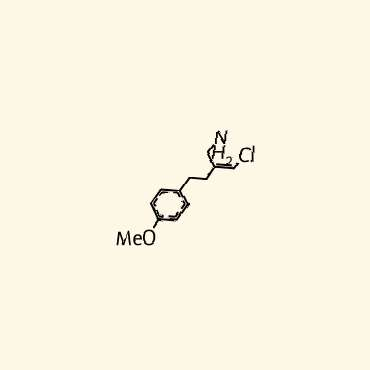 COc1ccc(CC/C(=C/Cl)CN)cc1